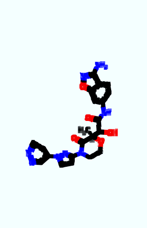 C[C@]1(C(O)C(=O)Nc2ccc3c(N)noc3c2)OCCN(c2ccn(-c3ccnnc3)n2)C1=O